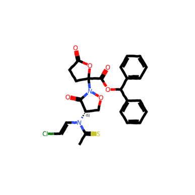 CC(=S)N(C=CCl)[C@H]1CON(C2(C(=O)OC(c3ccccc3)c3ccccc3)CCC(=O)O2)C1=O